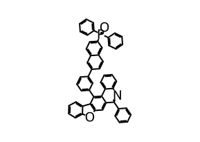 O=P(c1ccccc1)(c1ccccc1)c1ccc2cc(-c3cccc(-c4c5c(cc6c(-c7ccccc7)nc7ccccc7c46)oc4ccccc45)c3)ccc2c1